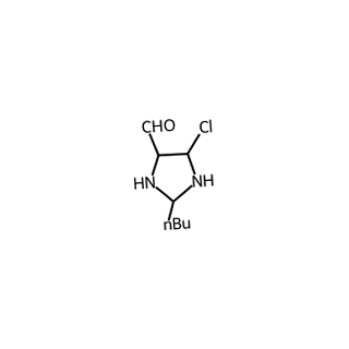 CCCCC1NC(Cl)C(C=O)N1